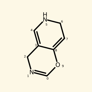 C1=NCC2=CNCC=C2O1